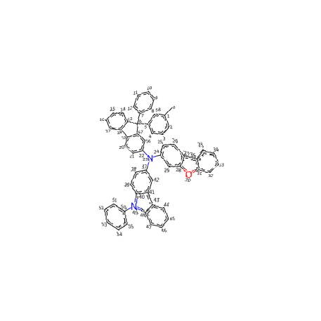 Cc1cccc(C2(c3ccccc3)c3ccccc3-c3ccc(N(c4ccc5c(c4)oc4ccccc45)c4ccc5c(c4)c4ccccc4n5-c4ccccc4)cc32)c1